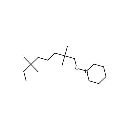 CCC(C)(C)CCCC(C)(C)CON1CCCCC1